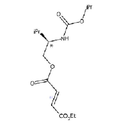 CCOC(=O)/C=C/C(=O)OC[C@H](NC(=O)OC(C)C)C(C)C